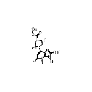 CCn1c(C=O)nc2c(N3C[C@@H](C)N(C(=O)OC(C)(C)C)C[C@@H]3C)cc(=O)n(C)c21